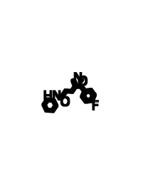 O=C(CCc1cnoc1-c1ccc(F)cc1)NC1CCCCC1